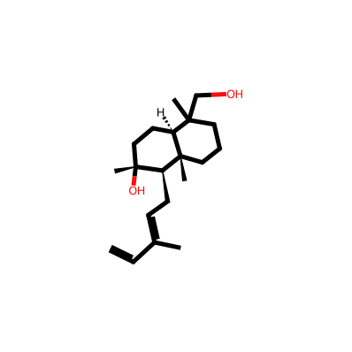 C=C/C(C)=C/C[C@@H]1[C@@]2(C)CCCC(C)(CO)[C@@H]2CC[C@@]1(C)O